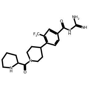 N=C(N)NC(=O)c1ccc(C2CCN(C(=O)C3CCCCN3)CC2)c(C(F)(F)F)c1